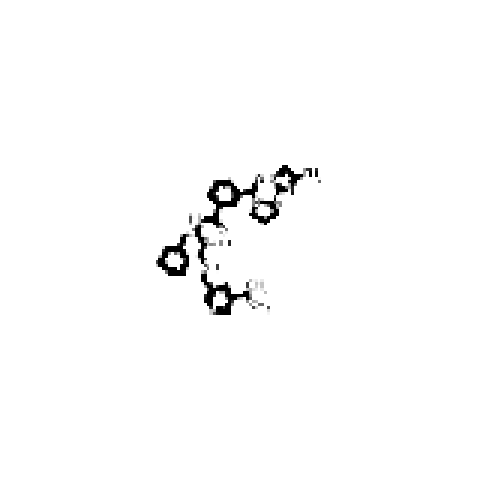 Cc1csc([C@H]2CCCN2C(=O)c2cccc(C(=O)N[C@@H](Cc3ccccc3)[C@H](O)CNCc3cncc(C(C)C)c3)c2)n1